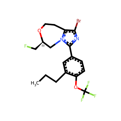 CCCc1cc(-c2nc(Br)c3n2C[C@@H](CF)OCC3)ccc1OC(F)(F)F